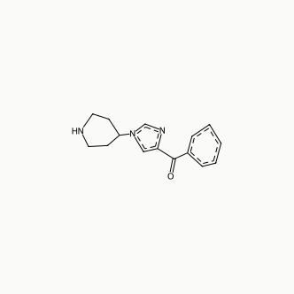 O=C(c1ccccc1)c1cn(C2CCNCC2)cn1